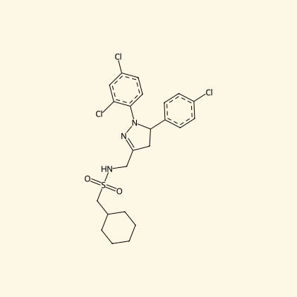 O=S(=O)(CC1CCCCC1)NCC1=NN(c2ccc(Cl)cc2Cl)C(c2ccc(Cl)cc2)C1